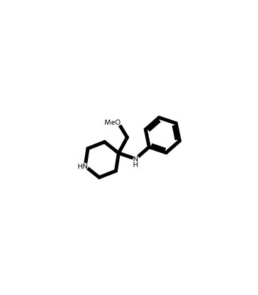 COCC1(Nc2ccccc2)CCNCC1